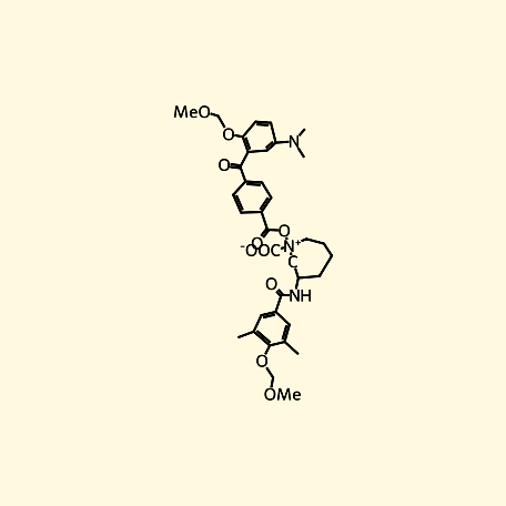 COCOc1ccc(N(C)C)cc1C(=O)c1ccc(C(=O)O[N+]2(C(=O)[O-])CCCCC(NC(=O)c3cc(C)c(OCOC)c(C)c3)C2)cc1